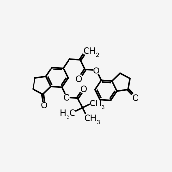 C=C(Cc1cc2c(c(OC(=O)C(C)(C)C)c1)C(=O)CC2)C(=O)Oc1cccc2c1CCC2=O